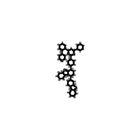 c1ccc(-c2cc(-c3ccccc3-c3ccncc3)nc(-c3ccc(-c4ccc(-c5ccc6c(c5)sc5ccccc56)c5c4oc4ccccc45)cc3)n2)cc1